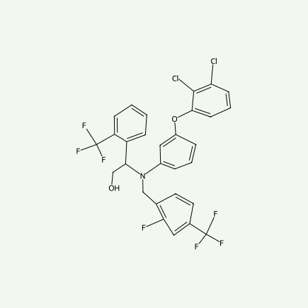 OCC(c1ccccc1C(F)(F)F)N(Cc1ccc(C(F)(F)F)cc1F)c1cccc(Oc2cccc(Cl)c2Cl)c1